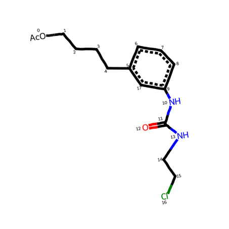 CC(=O)OCCCCc1cccc(NC(=O)NCCCl)c1